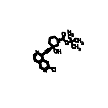 CC(C)(C)OC(=O)N1CCCC(O)(C#Cc2nccc3cnc(Cl)cc23)C1